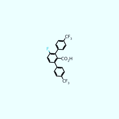 O=C(O)c1c(-c2ccc(C(F)(F)F)cc2)ccc(F)c1-c1ccc(C(F)(F)F)cc1